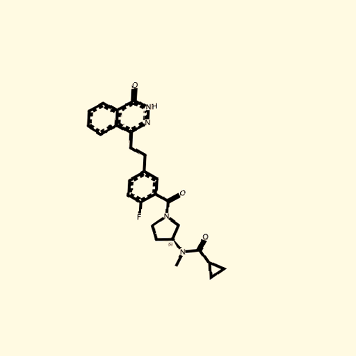 CN(C(=O)C1CC1)[C@H]1CCN(C(=O)c2cc(CCc3n[nH]c(=O)c4ccccc34)ccc2F)C1